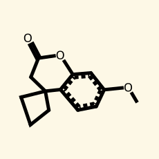 COc1ccc2c(c1)OC(=O)CC21CCC1